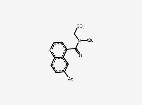 CC(=O)c1ccc2nccc(C(=O)N(CC(=O)O)C(C)(C)C)c2c1